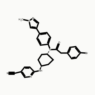 Cn1cc(-c2ccc(N(C(=O)Cc3ccc(Br)cc3)[C@H]3CC[C@H](Nc4ccc(C#N)cn4)CC3)cc2)cn1